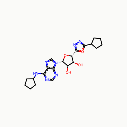 O[C@@H]1[C@H](O)[C@@H](c2nnc(C3CCCC3)o2)O[C@H]1n1cnc2c(NC3CCCC3)ncnc21